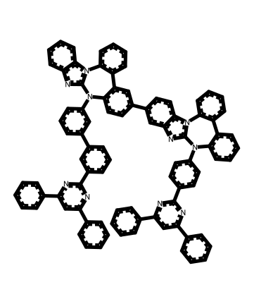 c1ccc(-c2cc(-c3ccccc3)nc(-c3ccc(N4c5ccccc5-c5ccccc5-n5c4nc4cc(-c6ccc7c(c6)-c6ccccc6-n6c(nc8ccccc86)N7c6cccc(-c7cccc(-c8nc(-c9ccccc9)cc(-c9ccccc9)n8)c7)c6)ccc45)cc3)n2)cc1